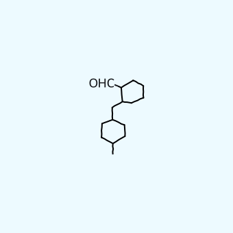 CC1CCC(CC2CCCCC2C=O)CC1